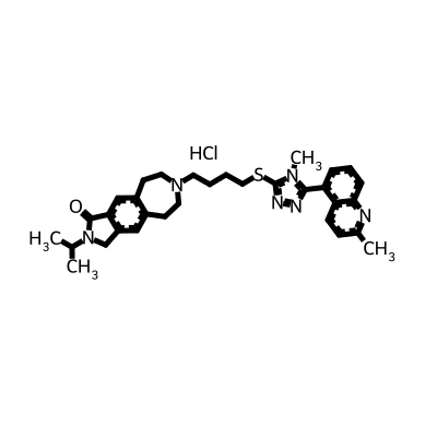 Cc1ccc2c(-c3nnc(SCCCCN4CCc5cc6c(cc5CC4)C(=O)N(C(C)C)C6)n3C)cccc2n1.Cl